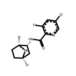 O=C(N[C@@H]1C[C@H]2CC[C@@H]1N2)c1ncc(Cl)cc1F